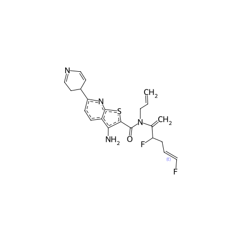 C=CCN(C(=C)C(F)C/C=C/F)C(=O)c1sc2nc(C3C=CN=CC3)ccc2c1N